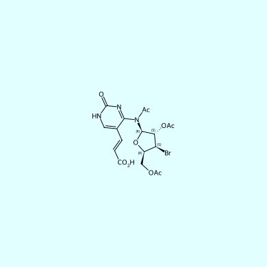 CC(=O)OC[C@H]1O[C@@H](N(C(C)=O)c2nc(=O)[nH]cc2C=CC(=O)O)[C@H](OC(C)=O)[C@H]1Br